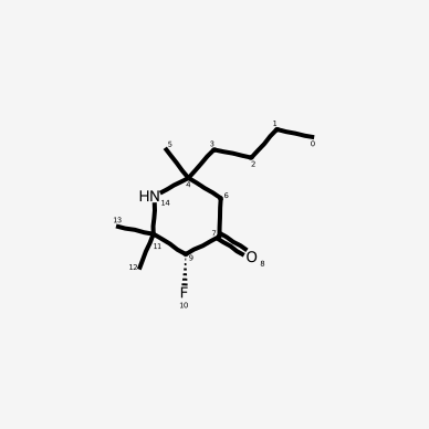 CCCCC1(C)CC(=O)[C@H](F)C(C)(C)N1